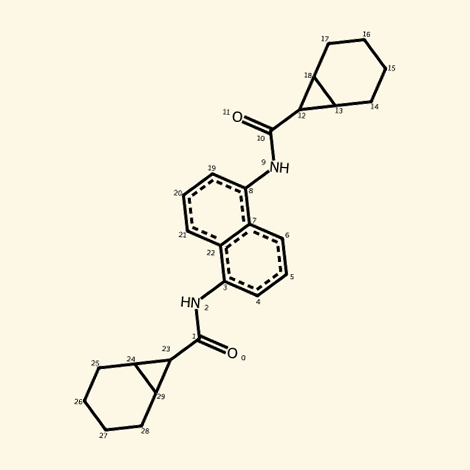 O=C(Nc1cccc2c(NC(=O)C3C4CCCCC43)cccc12)C1C2CCCCC21